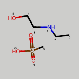 CCNCCO.CS(=O)(=O)O